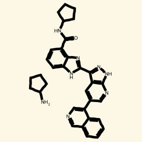 NC1CCCC1.O=C(NC1CCCC1)c1cccc2[nH]c(-c3n[nH]c4ncc(-c5cncc6ccccc56)cc34)nc12